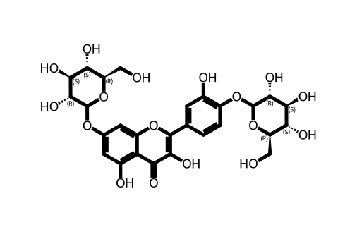 O=c1c(O)c(-c2ccc(OC3O[C@H](CO)[C@@H](O)[C@H](O)[C@H]3O)c(O)c2)oc2cc(OC3O[C@H](CO)[C@@H](O)[C@H](O)[C@H]3O)cc(O)c12